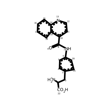 NC(Cc1ccc(NC(=O)c2ccnc3ccccc23)cc1)C(=O)O